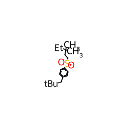 CCC(C)(C)CCS(=O)(=O)c1ccc(CC(C)(C)C)cc1